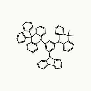 CC1(C)c2ccccc2N(c2cc(N3c4ccccc4C(c4ccccc4)(c4ccccc4)c4ccncc43)cc(-n3c4ccccc4c4ccccc43)c2)c2ccccc21